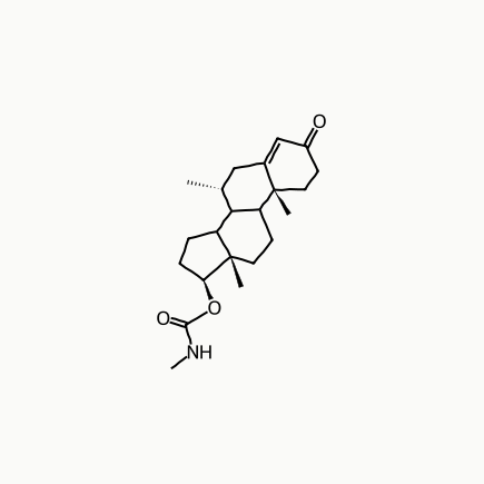 CNC(=O)O[C@H]1CCC2C3C(CC[C@@]21C)[C@@]1(C)CCC(=O)C=C1C[C@H]3C